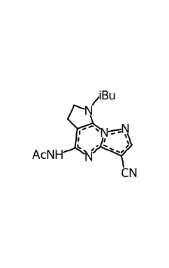 CCC(C)N1CCc2c(NC(C)=O)nc3c(C#N)cnn3c21